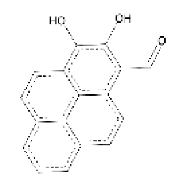 O=Cc1c(O)c(O)c2ccc3cccc4ccc1c2c34